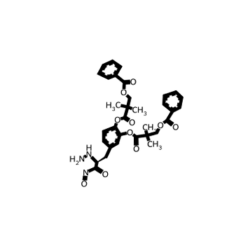 CC(C)(COC(=O)c1ccccc1)C(=O)Oc1ccc(C[C@H](NN)C(=O)N=O)cc1OC(=O)C(C)(C)COC(=O)c1ccccc1